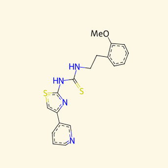 COc1ccccc1CCNC(=S)Nc1nc(-c2cccnc2)cs1